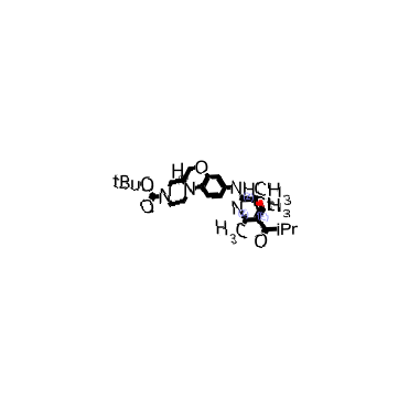 C\C=C(C(=O)C(C)C)/C(C)=N\C(Nc1ccc2c(c1)OC[C@H]1CN(C(=O)OC(C)(C)C)CCN21)=C(\C)CC